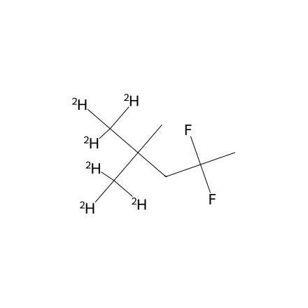 [2H]C([2H])([2H])C(C)(CC(C)(F)F)C([2H])([2H])[2H]